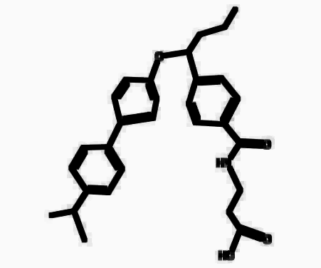 CCCC(Oc1ccc(-c2ccc(C(C)C)cc2)cc1)c1ccc(C(=O)NCCC(=O)O)cc1